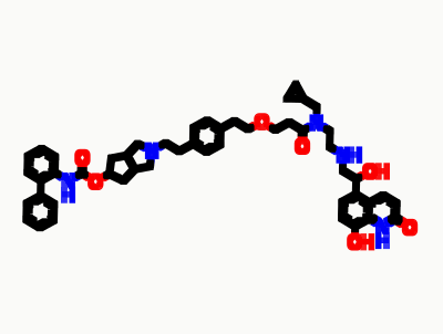 O=C(Nc1ccccc1-c1ccccc1)OC1CC2CN(CCc3ccc(CCOCCC(=O)N(CCNCC(O)c4ccc(O)c5[nH]c(=O)ccc45)CC4CC4)cc3)CC2C1